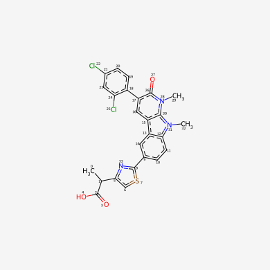 CC(C(=O)O)c1csc(-c2ccc3c(c2)c2cc(-c4ccc(Cl)cc4Cl)c(=O)n(C)c2n3C)n1